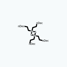 CCCCCCCCCCC[CH2][Sn]1([CH2]CCCCCCCCCCC)[S][Sn]([CH2]CCCCCCCCCCC)([CH2]CCCCCCCCCCC)[S]1